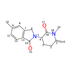 C=C1CCC(N2Cc3cc(C)ccc3C2=O)C(=O)N1C